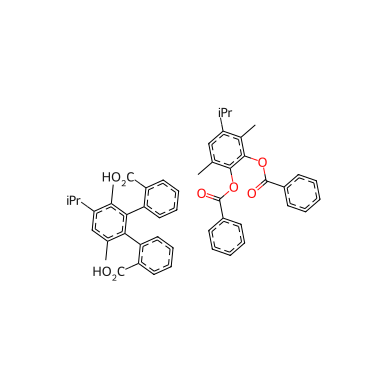 Cc1cc(C(C)C)c(C)c(-c2ccccc2C(=O)O)c1-c1ccccc1C(=O)O.Cc1cc(C(C)C)c(C)c(OC(=O)c2ccccc2)c1OC(=O)c1ccccc1